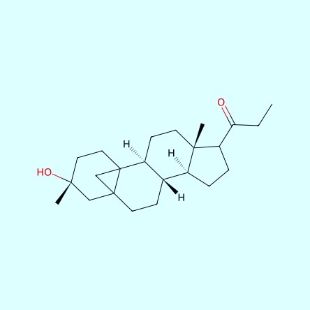 CCC(=O)C1CC[C@H]2[C@@H]3CCC45CC4(CC[C@@](C)(O)C5)[C@H]3CC[C@]12C